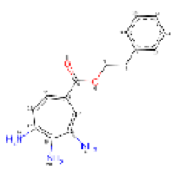 NC1=CC(C(=O)OCCc2ccccc2)=C=CC(N)=C1N